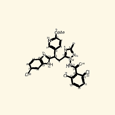 COc1ccc(C(Cc2nc(C)nn2NC(=O)c2c(Cl)cccc2Cl)c2nc3ccc(Cl)cc3[nH]2)cn1